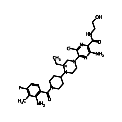 CC[C@H]1CN(c2nc(N)c(C(=O)NCCO)nc2Cl)CCN1C1CCN(C(=O)c2ccc(F)c(C)c2N)CC1